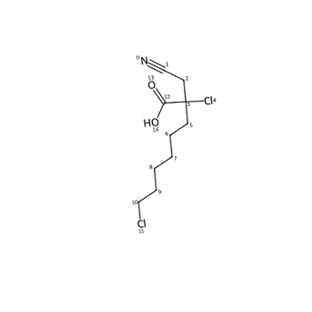 N#CCC(Cl)(CCCCCCCl)C(=O)O